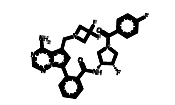 Nc1ncnn2c(-c3ccccc3C(=O)N[C@@H]3CN(C(=O)c4ccc(F)cc4)C[C@@H]3F)cc(CN3CC(F)(F)C3)c12